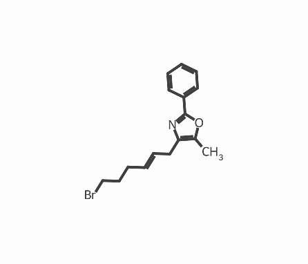 Cc1oc(-c2ccccc2)nc1CC=CCCCBr